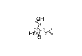 CC(C)=CCCC(C)=CCO.O=CO